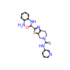 Nc1ccccc1NC(=O)c1nc2c(s1)CN(C(=S)Nc1cccnc1)CC2